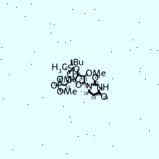 COC1C(O[Si](C)(C)C(C)(C)C)[C@@H](OCP(=O)(OC)OC)O[C@H]1n1ccc(=O)[nH]c1=O